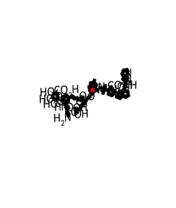 Cc1c(-c2ccc(N3CCc4cccc(C(=O)Nc5nc6ncccc6s5)c4C3)nc2C(=O)O)cnn1CC12CC3(C)CC(C)(C1)CC(OCCN(CCCP(=O)(O)O)C(=O)OC/C=C/c1ccc(O[C@@H]4O[C@H](C(=O)O)[C@@H](O)[C@H](O)[C@H]4O)c(NC(=O)CCN)c1)(C3)C2